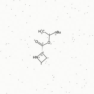 CCCCC(C)OC(=O)[C@@H]1CCN1